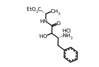 CCOC(=O)[C@H](C)NC(=O)C(O)[C@H](N)Cc1ccccc1.Cl